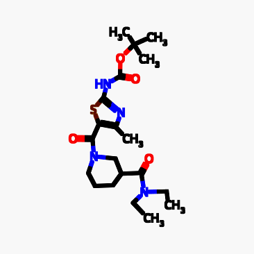 CCN(CC)C(=O)C1CCCN(C(=O)c2sc(NC(=O)OC(C)(C)C)nc2C)C1